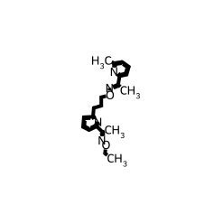 CCO/N=C(\C)c1cccc(CCCO/N=C(\C)c2cccc(C)n2)n1